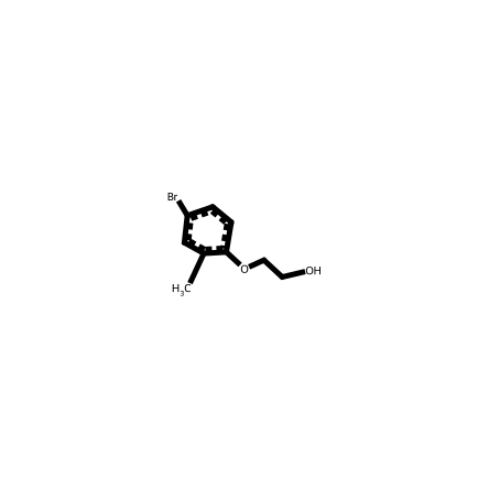 Cc1cc(Br)[c]cc1OCCO